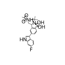 CC(C)(C)N1C(CNS(C)(=O)=O)c2cc(-c3c[nH]c4cc(F)ccc34)ccc2S1(O)O